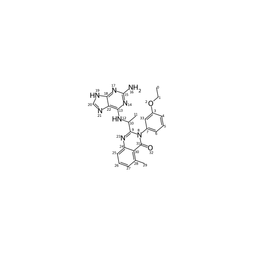 CCOc1cccc(-n2c(C(C)Nc3nc(N)nc4[nH]cnc34)nc3cccc(C)c3c2=O)c1